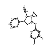 Cc1ccc(CN2CC(c3cccnc3)C(C#N)C23CC3)cc1C